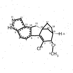 CO[C@H]1C(Cl)=C2c3ccc4[nH]ncc4c3C[C@@]23CC[C@@H]1C3